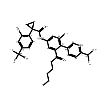 CCCCCC(=O)c1cc(NC(=O)C2(c3ccc(C(F)(F)F)cc3F)CC2)cc(F)c1-c1ccc(C(F)F)nc1